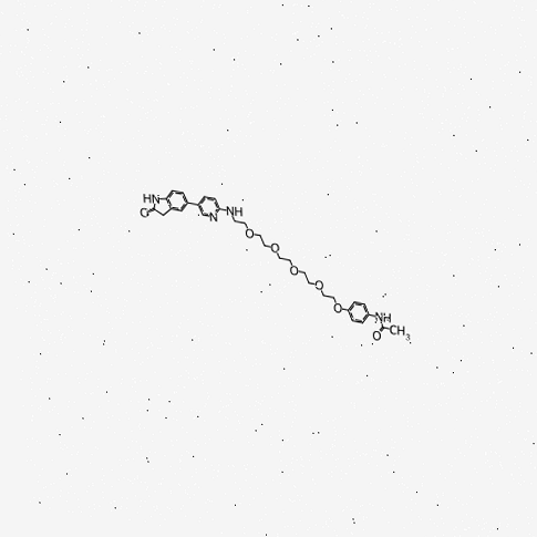 CC(=O)Nc1ccc(OCCOCCOCCOCCOCCNc2ccc(-c3ccc4c(c3)CC(=O)N4)cn2)cc1